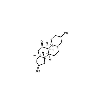 C[C@@]12CC(=N)C[C@H]1[C@@H]1CCN3CC(O)CC[C@]3(C)[C@@H]1C(=O)C2